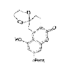 CCCCCc1cc(O)c2c3c(c(=O)oc2c1)CCC1(C3)OCCO1